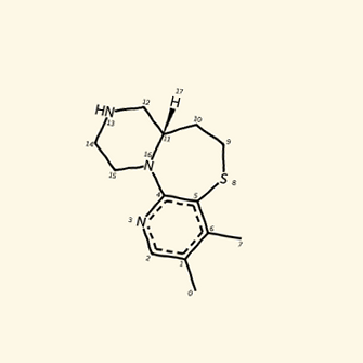 Cc1cnc2c(c1C)SCC[C@H]1CNCCN21